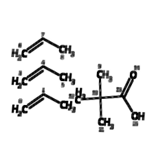 C=CC.C=CC.C=CC.CC(C)(C)C(=O)O